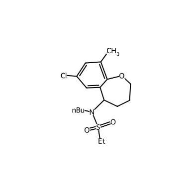 CCCCN(C1CCCOc2c(C)cc(Cl)cc21)S(=O)(=O)CC